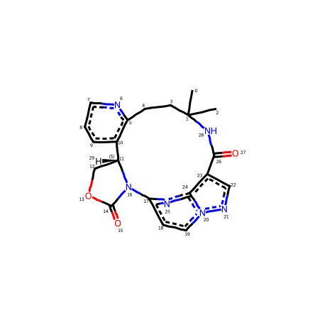 CC1(C)CCc2ncccc2[C@H]2COC(=O)N2c2ccn3ncc(c3n2)C(=O)N1